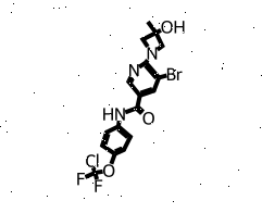 CC1(O)CN(c2ncc(C(=O)Nc3ccc(OC(F)(F)Cl)cc3)cc2Br)C1